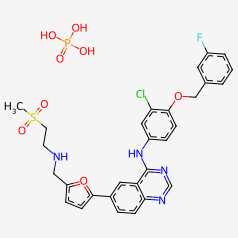 CS(=O)(=O)CCNCc1ccc(-c2ccc3ncnc(Nc4ccc(OCc5cccc(F)c5)c(Cl)c4)c3c2)o1.O=P(O)(O)O